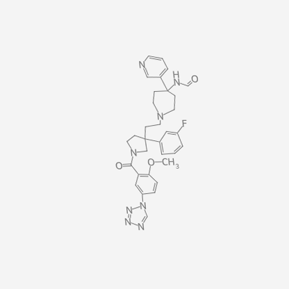 COc1ccc(-n2cnnn2)cc1C(=O)N1CCC(CCN2CCC(NC=O)(c3cccnc3)CC2)(c2cccc(F)c2)C1